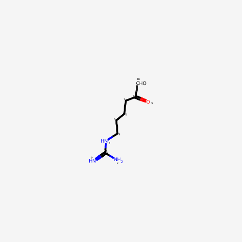 N=C(N)NCCCCC(=O)C=O